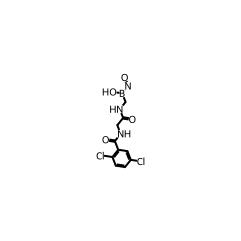 O=NB(O)CNC(=O)CNC(=O)c1cc(Cl)ccc1Cl